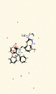 CN(C)c1cnc2c(Br)ccc(CC(NC(c3ccccc3)(c3ccccc3)c3ccccc3)C(=O)O)c2c1